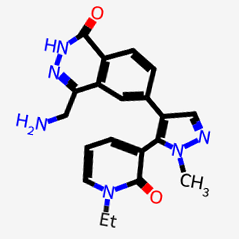 CCn1cccc(-c2c(-c3ccc4c(=O)[nH]nc(CN)c4c3)cnn2C)c1=O